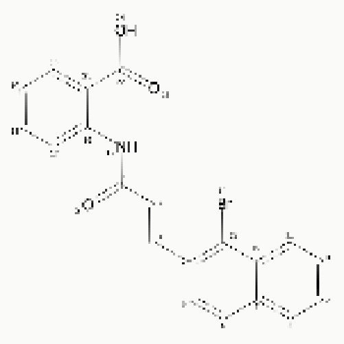 O=C(C=Cc1ccc2ccccc2c1Br)Nc1ccccc1C(=O)O